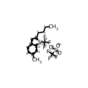 CCCCc1cc2ccc(C)cc2[s+]1C(F)(F)F.O=S(=O)([O-])C(F)(F)F